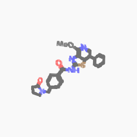 COc1ncc(-c2ccccc2)c2sc(NC(=O)c3ccc(CN4CCCC4=O)cc3)nc12